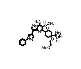 COCCOC1(c2nnn[nH]2)CCC(c2nc3c(-c4cnn(-c5ccccc5)c4)cnn3c(N)c2S(C)(=O)=O)CC1